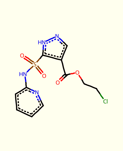 O=C(OCCCl)c1cn[nH]c1S(=O)(=O)Nc1ccccn1